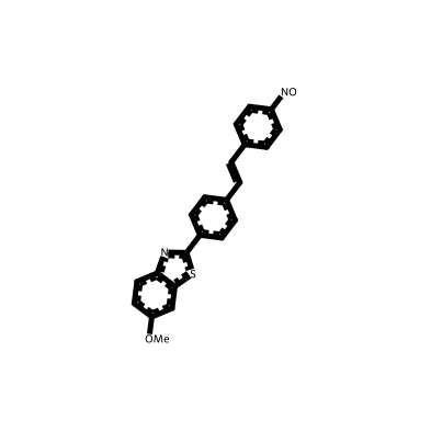 COc1ccc2nc(-c3ccc(/C=C/c4ccc(N=O)cc4)cc3)sc2c1